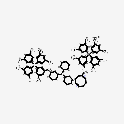 C/C1=C/CC/C=C\CC1.C1CCC(P(C2CCCCC2)C2CCCCC2)CC1.FC(F)(F)c1cc([B-](c2cc(C(F)(F)F)cc(C(F)(F)F)c2)(c2cc(C(F)(F)F)cc(C(F)(F)F)c2)c2cc(C(F)(F)F)cc(C(F)(F)F)c2)cc(C(F)(F)F)c1.FC(F)(F)c1cc([B-](c2cc(C(F)(F)F)cc(C(F)(F)F)c2)(c2cc(C(F)(F)F)cc(C(F)(F)F)c2)c2cc(C(F)(F)F)cc(C(F)(F)F)c2)cc(C(F)(F)F)c1.[Pd+2]